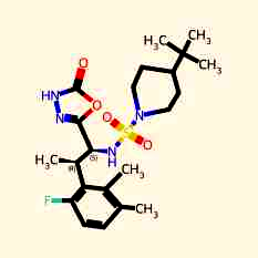 Cc1ccc(F)c([C@@H](C)[C@H](NS(=O)(=O)N2CCC(C(C)(C)C)CC2)c2n[nH]c(=O)o2)c1C